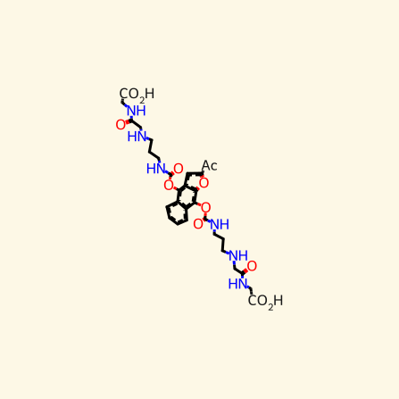 CC(=O)c1cc2c(OC(=O)NCCCNCC(=O)NCC(=O)O)c3ccccc3c(OC(=O)NCCCNCC(=O)NCC(=O)O)c2o1